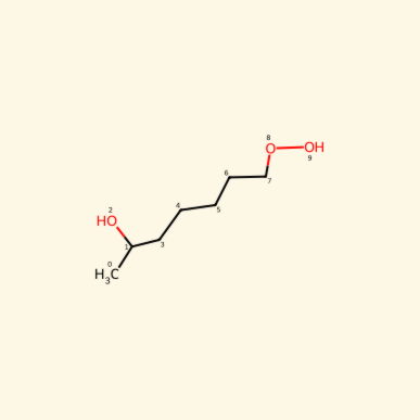 CC(O)CCCCCOO